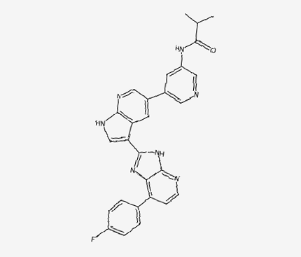 CC(C)C(=O)Nc1cncc(-c2cnc3[nH]cc(-c4nc5c(-c6ccc(F)cc6)ccnc5[nH]4)c3c2)c1